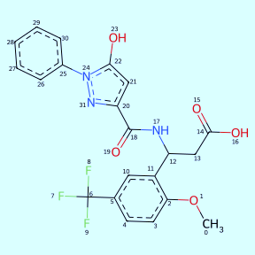 COc1ccc(C(F)(F)F)cc1C(CC(=O)O)NC(=O)c1cc(O)n(-c2ccccc2)n1